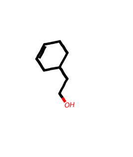 OCCC1CC=CCC1